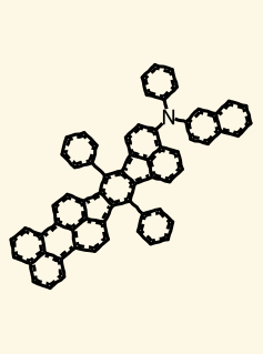 c1ccc(-c2c3c4cccc5c(N(c6ccccc6)c6ccc7ccccc7c6)ccc(c3c(-c3ccccc3)c3c6ccc7c8cccc9cccc(c%10ccc(c23)c6c%107)c98)c54)cc1